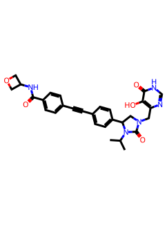 CC(C)N1C(=O)N(Cc2nc[nH]c(=O)c2O)CC1c1ccc(C#Cc2ccc(C(=O)NC3COC3)cc2)cc1